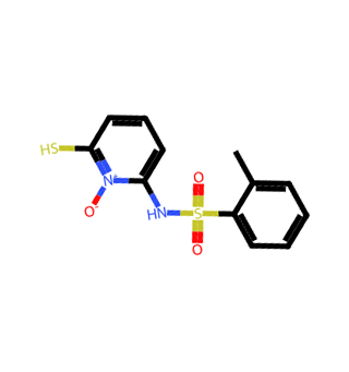 Cc1ccccc1S(=O)(=O)Nc1cccc(S)[n+]1[O-]